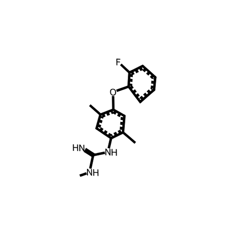 CNC(=N)Nc1cc(C)c(Oc2ccccc2F)cc1C